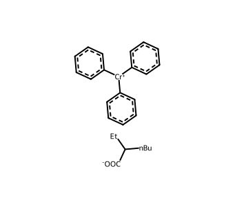 CCCCC(CC)C(=O)[O-].c1cc[c]([Cr+]([c]2ccccc2)[c]2ccccc2)cc1